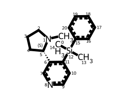 CN1CCC[C@H]1c1cnccc1[Si](C)(C)c1ccccc1